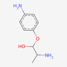 CC(N)C(O)Oc1ccc(N)cc1